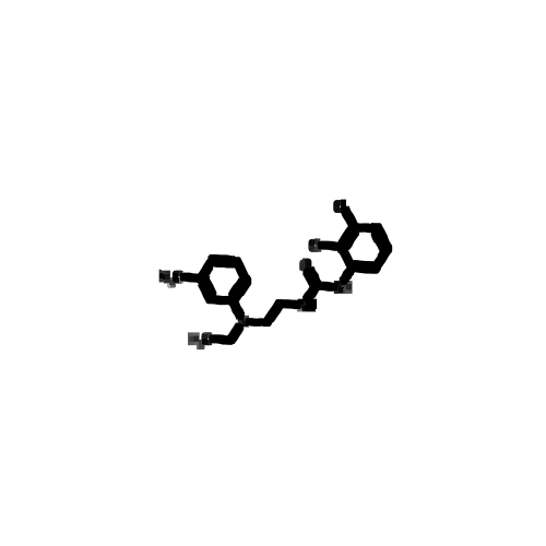 CCN(CCNC(=O)Nc1cccc(Cl)c1Cl)c1cccc(C)c1